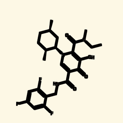 CCN(C)C(=O)c1c(O)c(=O)c(C(=O)NCc2c(F)cc(F)cc2F)cn1[C@@H]1C[C@H](C)CC[C@@H]1C